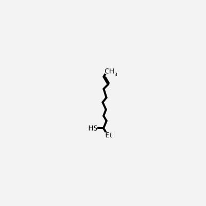 CC=CCCCCCCC(S)CC